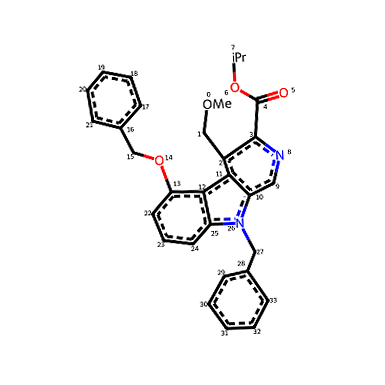 COCc1c(C(=O)OC(C)C)ncc2c1c1c(OCc3ccccc3)cccc1n2Cc1ccccc1